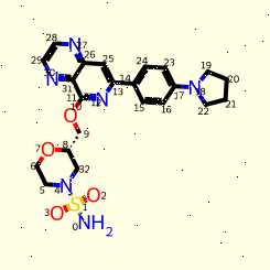 NS(=O)(=O)N1CCO[C@H](COc2nc(-c3ccc(N4CCCC4)cc3)cc3nccnc23)C1